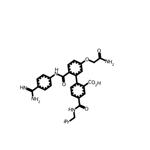 CC(C)CNC(=O)c1ccc(-c2cc(OCC(N)=O)ccc2C(=O)Nc2ccc(C(=N)N)cc2)c(C(=O)O)c1